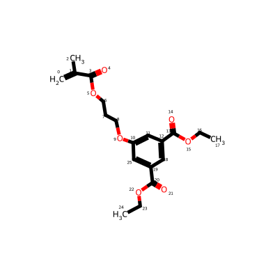 C=C(C)C(=O)OCCCOc1cc(C(=O)OCC)cc(C(=O)OCC)c1